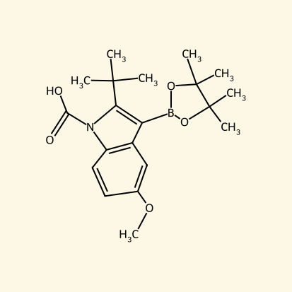 COc1ccc2c(c1)c(B1OC(C)(C)C(C)(C)O1)c(C(C)(C)C)n2C(=O)O